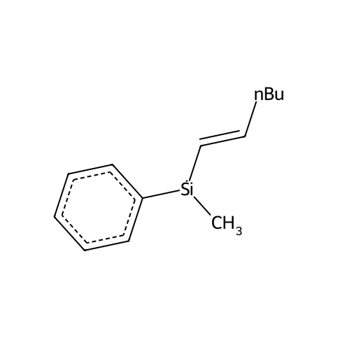 CCCC/C=C/[Si](C)c1ccccc1